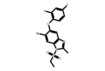 CCS(=O)(=O)n1c(C)nc2cc(Oc3ccc(F)cc3F)c(Br)cc21